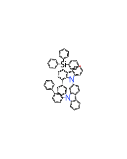 c1ccc(-c2cccc(-n3c4ccccc4c4ccc(-n5c6ccccc6c6c([Si](c7ccccc7)(c7ccccc7)c7ccccc7)ccc(-c7ccccc7)c65)cc43)c2)cc1